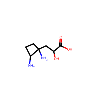 NC1CCC1(N)CC(O)C(=O)O